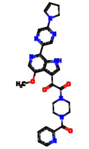 COc1cnc(-c2cnc(N3C=CCC3)cn2)c2[nH]cc(C(=O)C(=O)N3CCN(C(=O)c4ccccn4)CC3)c12